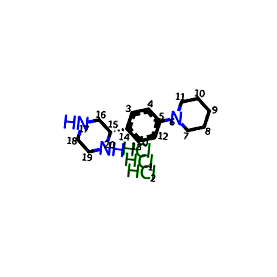 Cl.Cl.Cl.c1cc(N2CCCCC2)ccc1[C@H]1CNCCN1